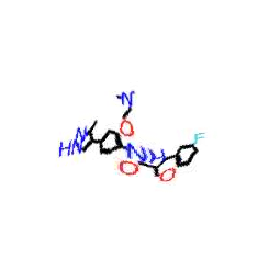 Cc1n[nH]cc1-c1ccc(NC(=O)C2COc3ccc(F)cc3C2)c(OCCN(C)C)c1